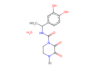 CCN1CCN(C(=O)NC(C(=O)O)c2ccc(O)c(O)c2)C(=O)C1=O.O